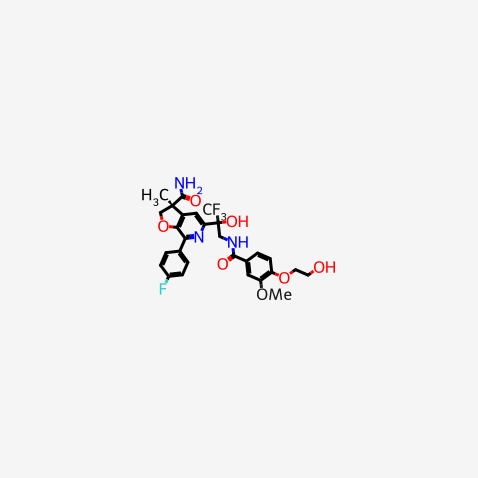 COc1cc(C(=O)NCC(O)(c2cc3c(c(-c4ccc(F)cc4)n2)OC[C@]3(C)C(N)=O)C(F)(F)F)ccc1OCCO